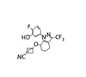 N#CC12CC(OC3CCCc4c(C(F)(F)F)nn(-c5ccc(F)c(O)c5)c43)(C1)C2